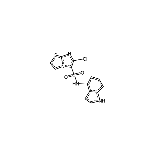 O=S(=O)(Nc1cccc2[nH]ccc12)c1c(Cl)nc2sccn12